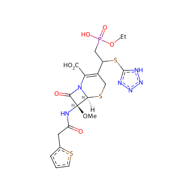 CCOP(=O)(O)CC(Sc1nnn[nH]1)C1=C(C(=O)O)N2C(=O)[C@](NC(=O)Cc3cccs3)(OC)[C@@H]2SC1